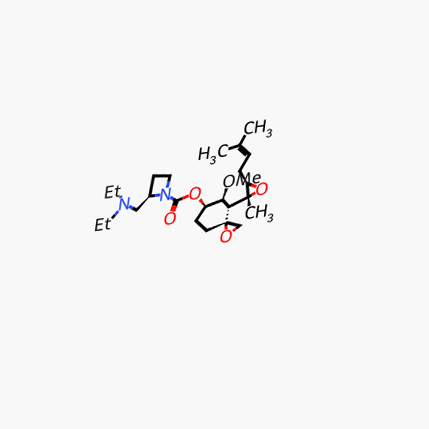 CCN(CC)C[C@H]1CCN1C(=O)O[C@@H]1CC[C@]2(CO2)[C@@H]([C@@]2(C)O[C@@H]2CC=C(C)C)[C@@H]1OC